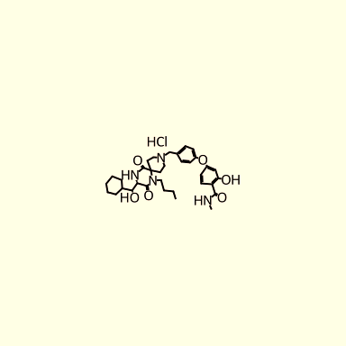 CCCCN1C(=O)[C@@H]([C@H](O)C2CCCCC2)NC(=O)C12CCN(Cc1ccc(Oc3ccc(C(=O)NC)c(O)c3)cc1)CC2.Cl